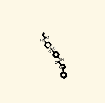 C=CC(=O)NC1CCN(S(=O)(=O)c2ccc(NC(=O)c3ccc(-c4ccccc4)o3)cc2)CC1